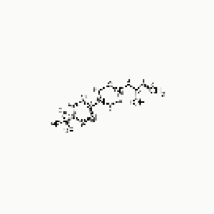 C=CC(O)CN1CCN(c2ccc(C(F)(F)F)cn2)CC1